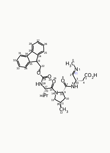 C/N=C/[C@H](CC(=O)O)NC(=O)[C@@H]1C[C@@H](C)CN1C(=O)[C@@H](NC(=O)OCC1c2ccccc2-c2ccccc21)C(C)C